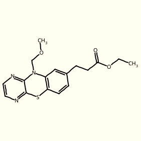 CCOC(=O)CCc1ccc2c(c1)N(COC)c1nccnc1S2